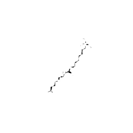 CCO[Si](CCCCCCCOC(=O)NCCOCCC=C(C)C(=O)O)(OCC)OCC